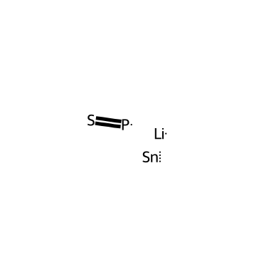 [Li].[P]=S.[Sn]